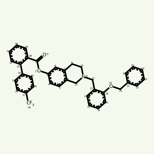 O=C(Oc1ccc2c(c1)CCN(Cc1ccccc1OCc1ccccc1)C2)c1ccccc1-c1ccc(C(F)(F)F)cc1